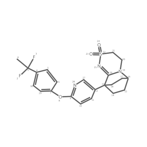 CC(F)(F)c1ccc(Oc2ccc(C34CCC(CC3)N3CCS(=O)(=O)N=C34)cn2)cc1